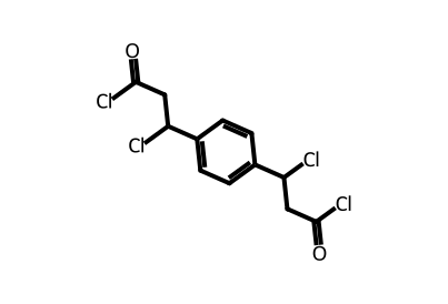 O=C(Cl)CC(Cl)c1ccc(C(Cl)CC(=O)Cl)cc1